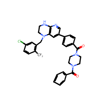 O=C(c1ccccc1)N1CCN(C(=O)c2ccc(-c3cnc4c(c3)N(Cc3cc(Cl)ccc3C(F)(F)F)CCN4)cc2)CC1